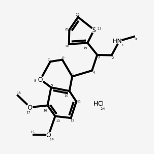 CNCC(CC1CCOc2c1ccc(OC)c2OC)c1cccs1.Cl